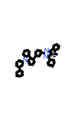 C[Si]1(C)c2ccccc2-c2nc(-c3cccc(-c4cccc5c4c4ccccc4n5-c4cccc(-c5ccccc5)c4)c3)nc(-c3ccccc3)c21